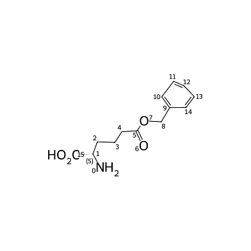 N[C@@H](CCCC(=O)OCc1ccccc1)C(=O)O